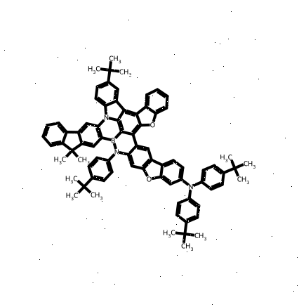 CC(C)(C)c1ccc(N2B3c4cc5c(cc4-n4c6ccc(C(C)(C)C)cc6c6c7c(oc8ccccc87)c(c3c64)-c3cc4c(cc32)oc2cc(N(c3ccc(C(C)(C)C)cc3)c3ccc(C(C)(C)C)cc3)ccc24)-c2ccccc2C5(C)C)cc1